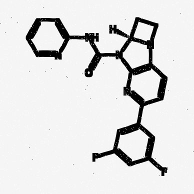 O=C(Nc1ccccn1)N1c2nc(-c3cc(F)cc(F)c3)ccc2N2CC[C@@H]21